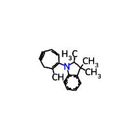 CC1=C(N2c3ccccc3C(C)(C)[C@@H]2C)C=CC#CC1